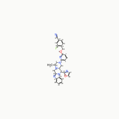 C[C@H]1CN(c2cccc(OCc3ccc(C#N)cc3F)n2)CCN1Cc1nc2ccccc2n1Cc1ncco1